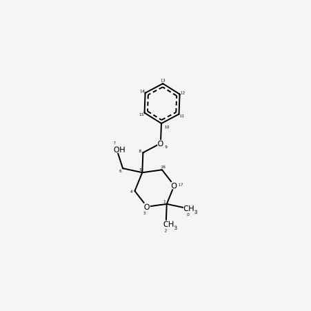 CC1(C)OCC(CO)(COc2ccccc2)CO1